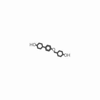 OC1CCC(COc2ccc(C3CCC(O)CC3)cc2)CC1